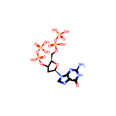 Nc1nc2c(ncn2[C@H]2CC(OP(=O)(O)OP(=O)(O)O)[C@@H](COP(=O)(O)OP(=O)(O)O)O2)c(=O)[nH]1